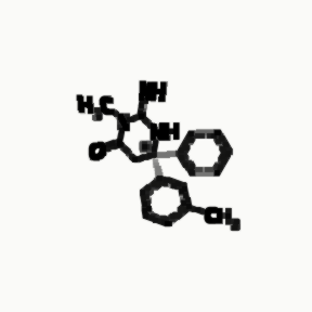 Cc1cccc([C@]2(c3ccccc3)CC(=O)N(C)C(=N)N2)c1